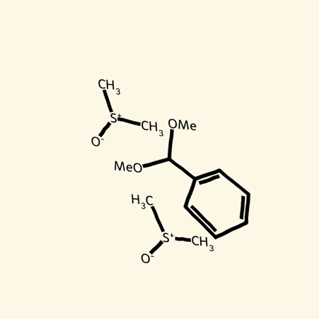 COC(OC)c1ccccc1.C[S+](C)[O-].C[S+](C)[O-]